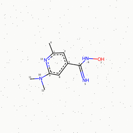 Cc1cc(C(=N)NO)cc(N(C)C)n1